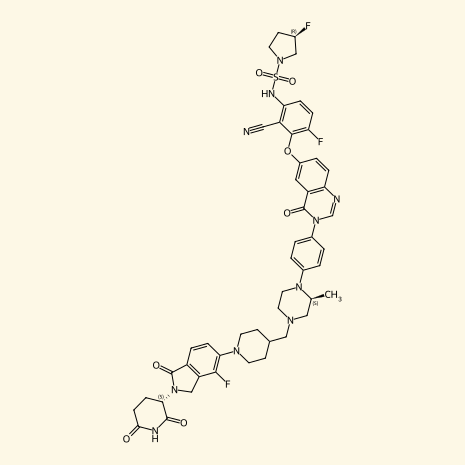 C[C@H]1CN(CC2CCN(c3ccc4c(c3F)CN([C@H]3CCC(=O)NC3=O)C4=O)CC2)CCN1c1ccc(-n2cnc3ccc(Oc4c(F)ccc(NS(=O)(=O)N5CC[C@@H](F)C5)c4C#N)cc3c2=O)cc1